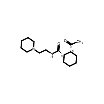 CC(=O)[C@@H]1CCCC[C@@H]1C(=O)NCCN1CCCCC1